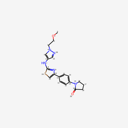 COCCn1cc(Nc2nc(-c3ccc(N4CCCC4=O)cc3)cs2)cn1